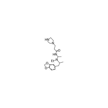 CCN(C(C)Cc1ccc2c(c1)OCO2)C(C)NC(=O)CCN1CCNCC1